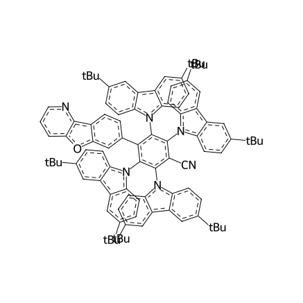 CC(C)(C)c1ccc2c(c1)c1cc(C(C)(C)C)ccc1n2-c1c(C#N)c(-n2c3ccc(C(C)(C)C)cc3c3cc(C(C)(C)C)ccc32)c(-n2c3ccc(C(C)(C)C)cc3c3cc(C(C)(C)C)ccc32)c(-c2ccc3c(c2)oc2cccnc23)c1-n1c2ccc(C(C)(C)C)cc2c2cc(C(C)(C)C)ccc21